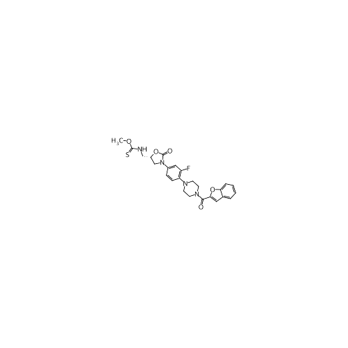 COC(=S)NC[C@H]1CN(c2ccc(N3CCN(C(=O)c4cc5ccccc5o4)CC3)c(F)c2)C(=O)O1